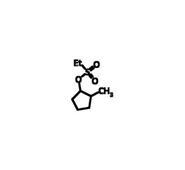 CCS(=O)(=O)OC1CCCC1C